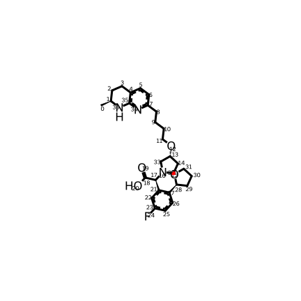 C[C@H]1CCc2ccc(CCCCO[C@@H]3CCN([C@H](C(=O)O)c4cc(F)ccc4[C@@H]4CCCO4)C3)nc2N1